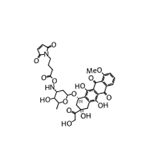 COc1cccc2c1C(=O)c1c(O)c3c(c(O)c1C2=O)C[C@@](O)(C(=O)CO)C[C@@H]3OC1CC(NOC(=O)CCCN2C(=O)C=CC2=O)C(O)C(C)O1